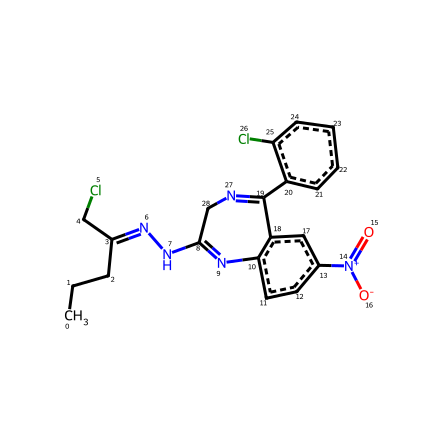 CCC/C(CCl)=N\NC1=Nc2ccc([N+](=O)[O-])cc2C(c2ccccc2Cl)=NC1